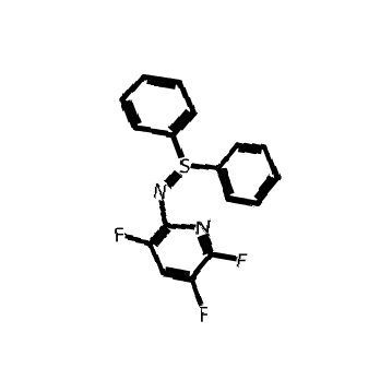 Fc1cc(F)c(N=S(c2ccccc2)c2ccccc2)nc1F